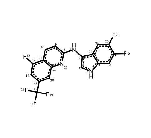 Fc1cc2[nH]cc(Nc3ccc4c(F)cc(C(F)(F)F)cc4n3)c2cc1F